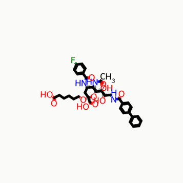 CC(=O)N[C@H]1[C@H]([C@H](O)[C@H](O)CNC(=O)c2ccc(-c3ccccc3)cc2)O[C@@](OCCCCCC(=O)O)(C(=O)O)C[C@@H]1NC(=O)c1ccc(F)cc1